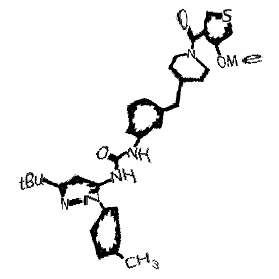 COc1cscc1C(=O)N1CCC(Cc2cccc(NC(=O)Nc3cc(C(C)(C)C)nn3-c3ccc(C)cc3)c2)CC1